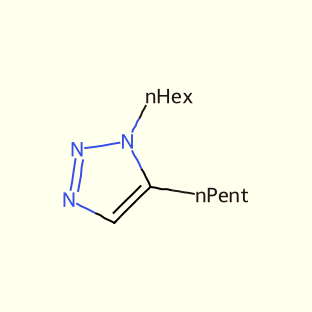 CCCCCCn1nncc1CCCCC